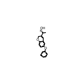 CC(=NO)C1=Cc2cc(Oc3ccccc3)ccc2OC1